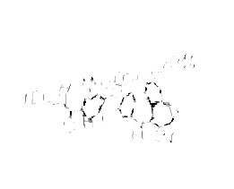 COCCOc1cc2ncc(C#N)c(Nc3ccc(Oc4ccc(C(=O)NCC(C)(C)C)cc4)c(C)c3)c2cc1OCCOC